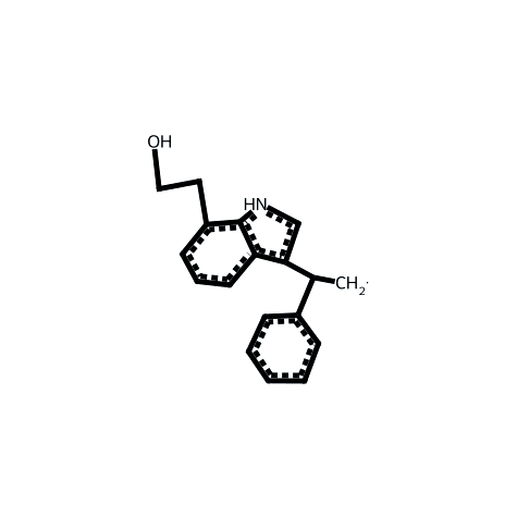 [CH2]C(c1ccccc1)c1c[nH]c2c(CCO)cccc12